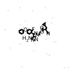 N#C/C(=C/C1CC1)C(=O)OCCn1nc(-c2ccc(Oc3ccccc3)cc2F)c2c(N)ncnc21